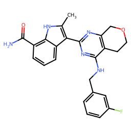 Cc1[nH]c2c(C(N)=O)cccc2c1-c1nc2c(c(NCc3cccc(F)c3)n1)CCOC2